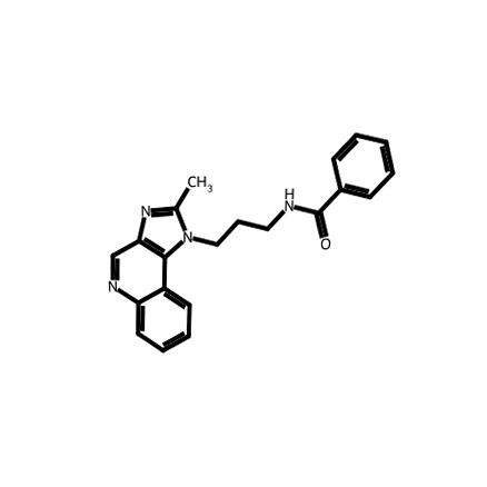 Cc1nc2cnc3ccccc3c2n1CCCNC(=O)c1ccccc1